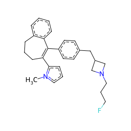 Cn1cccc1C1=C(c2ccc(CC3CN(CCCF)C3)cc2)c2ccccc2CCC1